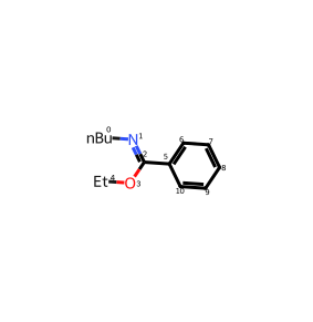 CCCCN=C(OCC)c1ccccc1